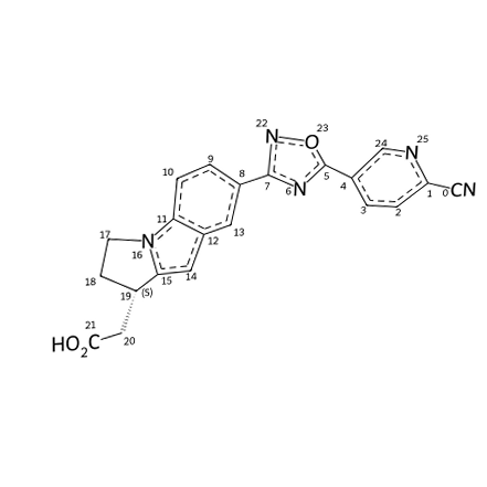 N#Cc1ccc(-c2nc(-c3ccc4c(c3)cc3n4CC[C@H]3CC(=O)O)no2)cn1